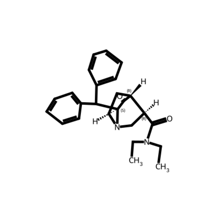 CCN(CC)C(=O)[C@H]1CN2CC[C@H]1C(=O)[C@@H]2C(c1ccccc1)c1ccccc1